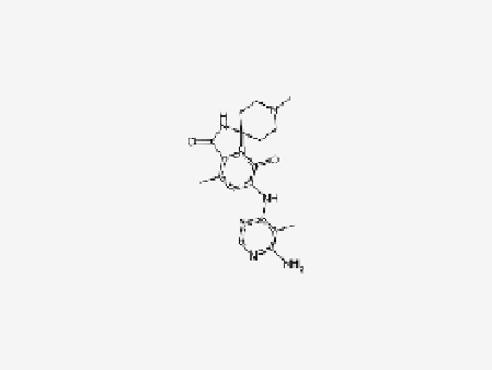 Cc1cc(Nc2ncnc(N)c2C)c(=O)n2c1C(=O)NC21CCN(C)CC1